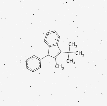 CC1=C(C(C)(C)C)c2ccccc2C1c1ccccc1